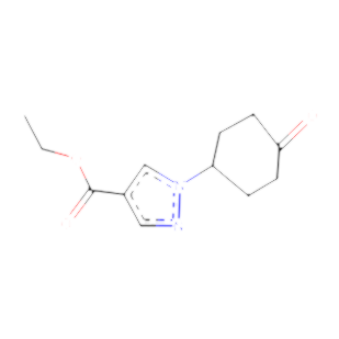 CCOC(=O)c1cnn(C2CCC(=O)CC2)c1